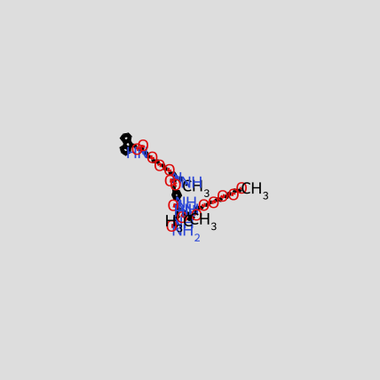 CNCCN(CCOCCOCCOCCNC(=O)OCC1c2ccccc2-c2ccccc21)C(=O)OCc1ccc(NC(=O)[C@H](CCCNC(N)=O)NC(=O)[C@@H](NC(=O)CCOCCOCCOCCOCCOC)C(C)C)cc1